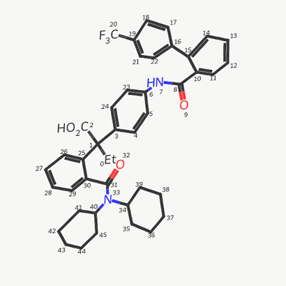 CCC(C(=O)O)(c1ccc(NC(=O)c2ccccc2-c2ccc(C(F)(F)F)cc2)cc1)c1ccccc1C(=O)N(C1CCCCC1)C1CCCCC1